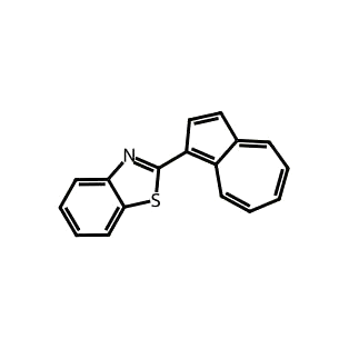 c1ccc2ccc(-c3nc4ccccc4s3)c-2cc1